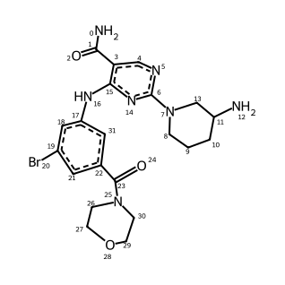 NC(=O)c1cnc(N2CCCC(N)C2)nc1Nc1cc(Br)cc(C(=O)N2CCOCC2)c1